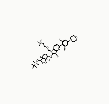 CC(C)(C)[Si](C)(C)O[C@@H]1CO[C@H]2[C@@H]1OC[C@H]2Oc1c(Br)c2nc(-c3c(F)cc(N4CCOCC4)cc3F)ccc2n1COCC[Si](C)(C)C